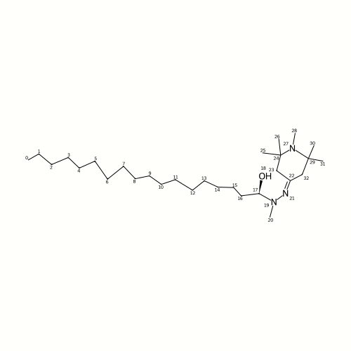 CCCCCCCCCCCCCCCCC[C@@H](O)N(C)N=C1CC(C)(C)N(C)C(C)(C)C1